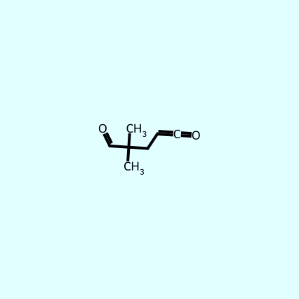 CC(C)(C=O)CC=C=O